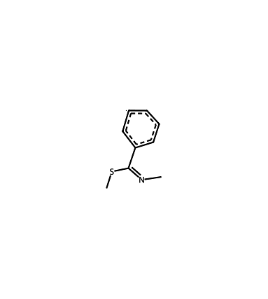 C/N=C(/SC)c1c[c]ccc1